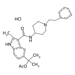 CC(=O)OC(C)(C)c1ccc2[nH]c(C)c(C(=O)NC3CCN(CCc4ccccc4)CC3)c2c1.Cl